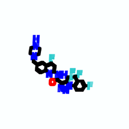 Cc1c(C(=O)Nc2cc(F)c3cc(CN4CCNCC4)ccc3n2)nnn1-c1ccc(F)cc1C(F)(F)F